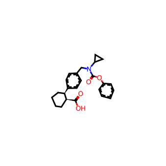 O=C(O)[C@H]1CCCC[C@H]1c1ccc(CN(C(=O)Oc2ccccc2)C2CC2)cc1